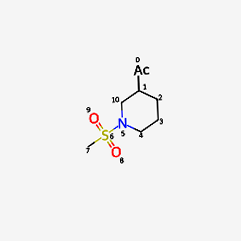 CC(=O)C1CCCN(S(C)(=O)=O)C1